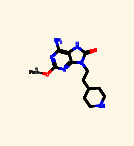 CCC[C@H](C)Oc1nc(N)c2[nH]c(=O)n(CCC3CCNCC3)c2n1